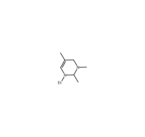 CCN1C=C(C)CN(C)C1C